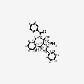 O=C(c1ccccc1)N1Cc2ccccc2[C@@H]2OC(c3ccccc3)=N[C@]2(CP)C1=O